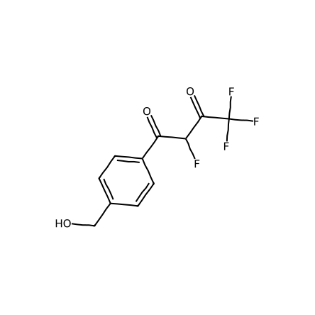 O=C(c1ccc(CO)cc1)C(F)C(=O)C(F)(F)F